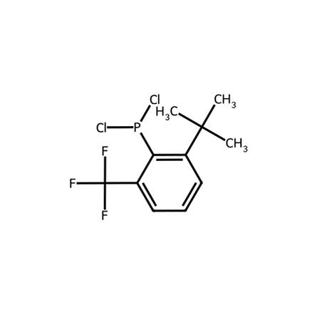 CC(C)(C)c1cccc(C(F)(F)F)c1P(Cl)Cl